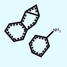 Nc1ccccc1.c1ccc2c3cc-3cc2c1